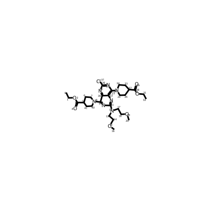 CCOC(=O)C1CCN(c2nc(N(CCOC)CCOC)nc3c(N4CCC(C(=O)OCC)CC4)nc(Cl)nc23)CC1